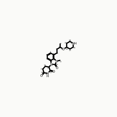 CC(CCc1cccc2c1n(C)c(=O)n2C1CCC(=O)NC1=O)OC1CCNCC1